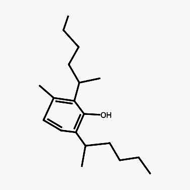 CCCCC(C)c1ccc(C)c(C(C)CCCC)c1O